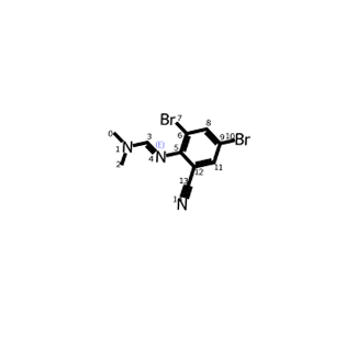 CN(C)/C=N/c1c(Br)cc(Br)cc1C#N